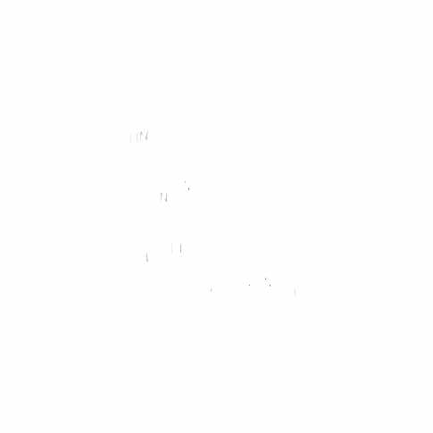 Cc1cc(-c2cc(F)c3nc(C4CCNCC4)ncc3c2)cc2cn(C)nc12.Cl.Cl